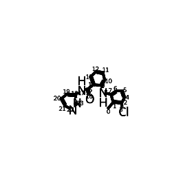 Cc1c(Cl)cccc1Nc1ccccc1C(=O)Nc1cccnn1